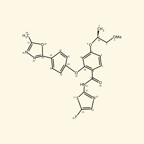 COC[C@H](C)Oc1ccc(C(=O)Nc2ncc(F)s2)c(Oc2ccc(-c3nnc(C)o3)cc2)c1